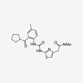 CNC(=O)Cc1csc(NC(=O)Nc2ccc(C)cc2C(=O)C2CCCC2)n1